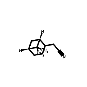 CC1(C)[C@@H]2CCC(CC#N)[C@H]1C2